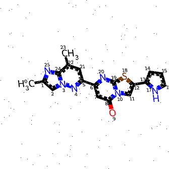 Cc1cn2nc(-c3cc(=O)n4cc(-c5ccc[nH]5)sc4n3)cc(C)c2n1